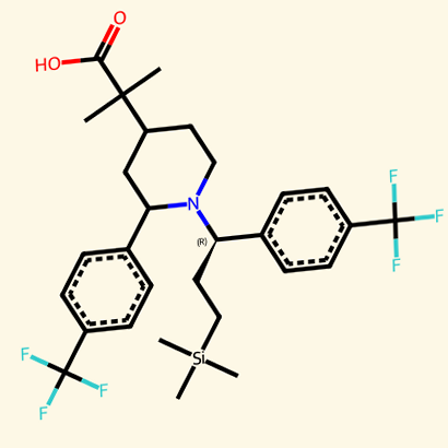 CC(C)(C(=O)O)C1CCN([C@H](CC[Si](C)(C)C)c2ccc(C(F)(F)F)cc2)C(c2ccc(C(F)(F)F)cc2)C1